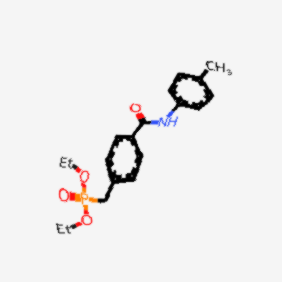 CCOP(=O)(Cc1ccc(C(=O)Nc2ccc(C)cc2)cc1)OCC